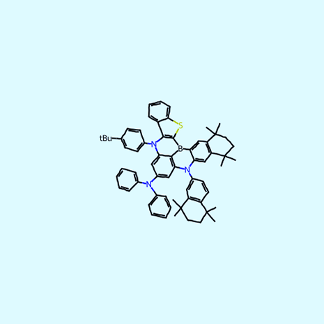 CC(C)(C)c1ccc(N2c3cc(N(c4ccccc4)c4ccccc4)cc4c3B(c3cc5c(cc3N4c3ccc4c(c3)C(C)(C)CCC4(C)C)C(C)(C)CCC5(C)C)c3sc4ccccc4c32)cc1